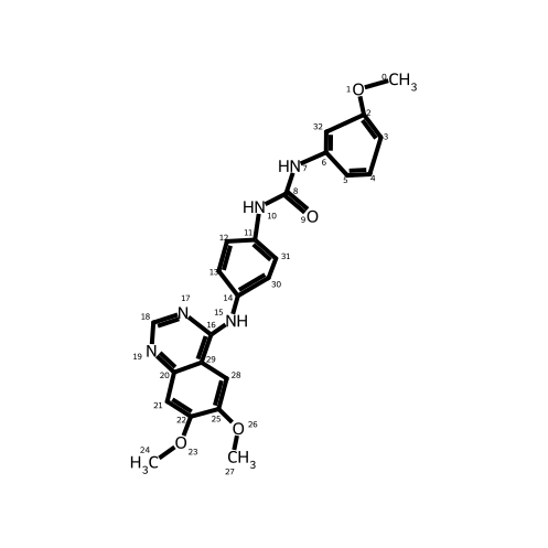 COc1cccc(NC(=O)Nc2ccc(Nc3ncnc4cc(OC)c(OC)cc34)cc2)c1